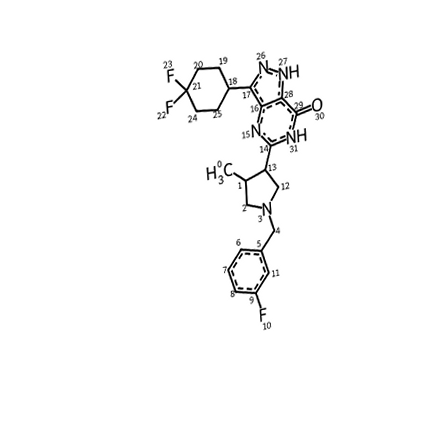 CC1CN(Cc2cccc(F)c2)CC1c1nc2c(C3CCC(F)(F)CC3)n[nH]c2c(=O)[nH]1